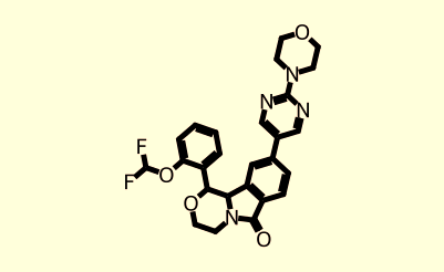 O=C1c2ccc(-c3cnc(N4CCOCC4)nc3)cc2C2C(c3ccccc3OC(F)F)OCCN12